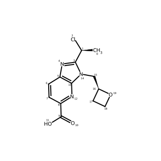 C[C@H](Cl)c1nc2ccc(C(=O)O)nc2n1C[C@@H]1CCO1